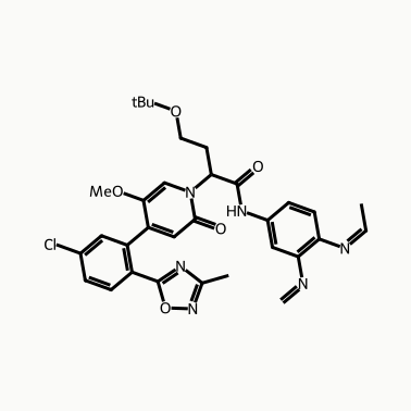 C=Nc1cc(NC(=O)C(CCOC(C)(C)C)n2cc(OC)c(-c3cc(Cl)ccc3-c3nc(C)no3)cc2=O)ccc1/N=C\C